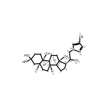 CCC[C@@]1(O)CC[C@@]2(C)[C@H](CC[C@@H]3[C@@H]2CC[C@]2(C)[C@@H](C(C)Cn4cc(C#N)cn4)CC[C@@H]32)C1